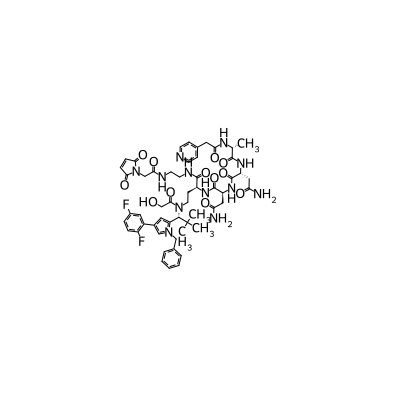 C[C@@H](NC(=O)Cc1ccncc1)C(=O)N[C@H](CC(N)=O)C(=O)N[C@@H](CC(N)=O)C(=O)N[C@@H](CCN(C(=O)CO)[C@@H](c1cc(-c2cc(F)ccc2F)cn1Cc1ccccc1)C(C)(C)C)C(=O)NCCNC(=O)CN1C(=O)C=CC1=O